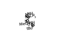 COc1ncc(-c2cc(C(F)(F)F)c3c(N)ncnn23)cc1C(=O)Nc1cnn(CC(C)(C)C)c1